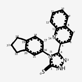 S=c1[nH]nc(-c2ccc3ccccc3n2)n1-c1ccc2c(c1)CCC2